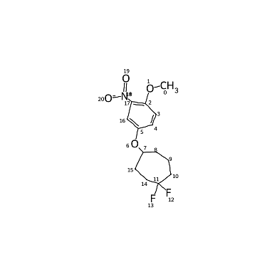 COc1ccc(OC2CCCC(F)(F)CC2)cc1[N+](=O)[O-]